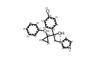 OC(Cn1ccnc1)(c1ccc(Cl)cc1)C1(Oc2ccccc2)CC1